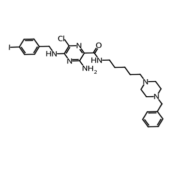 Nc1nc(NCc2ccc(I)cc2)c(Cl)nc1C(=O)NCCCCCN1CCN(Cc2ccccc2)CC1